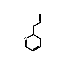 C=CCC1CC=CC[N]1